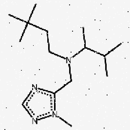 CC(C)C(C)N(CCC(C)(C)C)Cc1ncnn1C